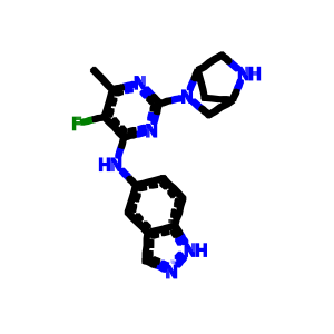 Cc1nc(N2CC3CC2CN3)nc(Nc2ccc3[nH]ncc3c2)c1F